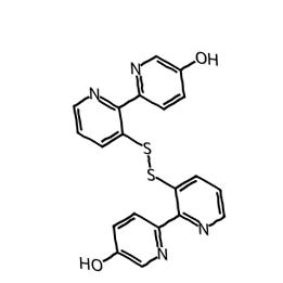 Oc1ccc(-c2ncccc2SSc2cccnc2-c2ccc(O)cn2)nc1